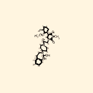 COc1c(F)cccc1-c1cn(CC(=O)N2CCC(N3CCc4ccccc4NC3O)CC2)c(=O)n(C)c1=O